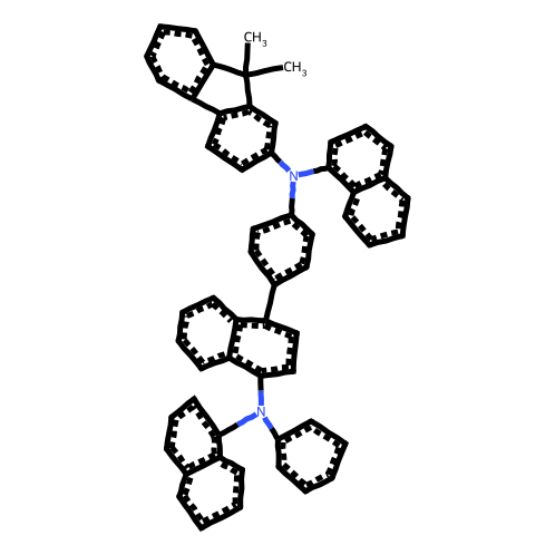 CC1(C)c2ccccc2-c2ccc(N(c3ccc(-c4ccc(N(c5ccccc5)c5cccc6ccccc56)c5ccccc45)cc3)c3cccc4ccccc34)cc21